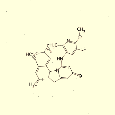 C#CC(=C/C(=C)F)/C(=C\C(C)C)C1CCc2cc(=O)nc(Nc3cc(F)c(OC)nc3C)n21